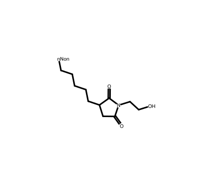 CCCCCCCCCCCCCCC1CC(=O)N(CCO)C1=O